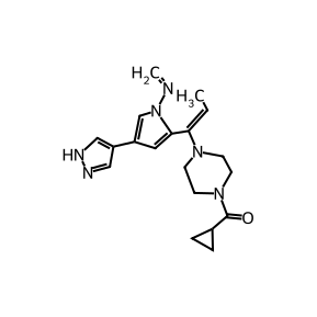 C=Nn1cc(-c2cn[nH]c2)cc1/C(=C\C)N1CCN(C(=O)C2CC2)CC1